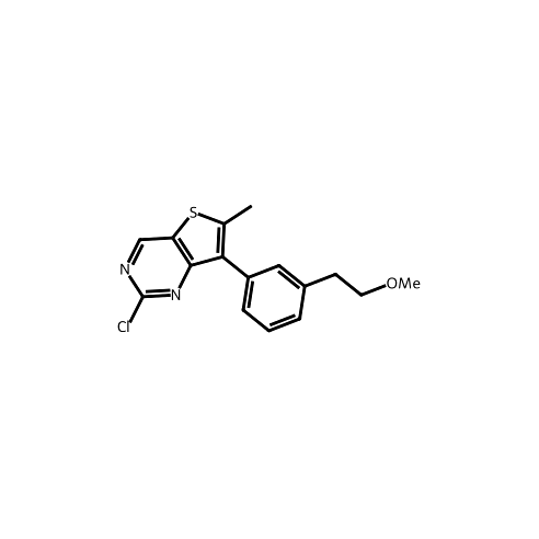 COCCc1cccc(-c2c(C)sc3cnc(Cl)nc23)c1